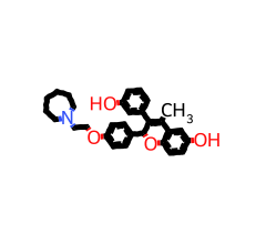 CC1=C(c2cccc(O)c2)C(c2ccc(OCCN3CCCCCC3)cc2)Oc2ccc(O)cc21